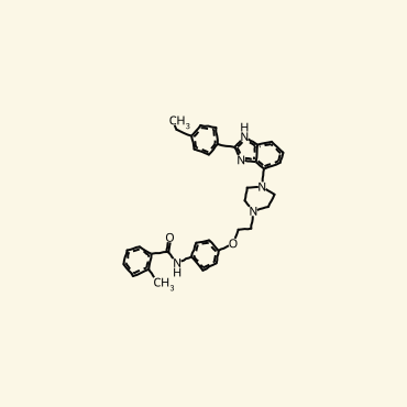 CCc1ccc(-c2nc3c(N4CCN(CCOc5ccc(NC(=O)c6ccccc6C)cc5)CC4)cccc3[nH]2)cc1